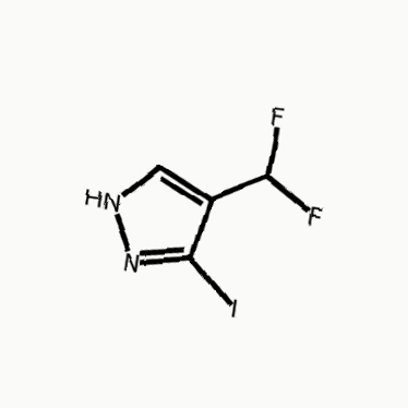 FC(F)c1c[nH]nc1I